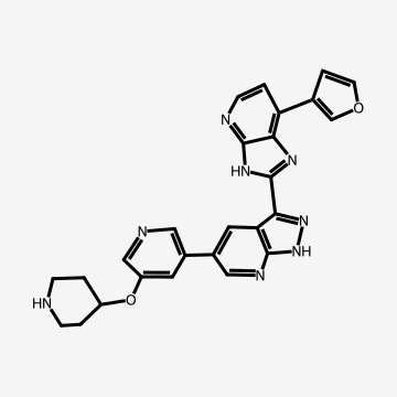 c1cc(-c2ccoc2)c2nc(-c3n[nH]c4ncc(-c5cncc(OC6CCNCC6)c5)cc34)[nH]c2n1